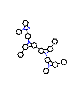 C1=CCCC(C2=Cc3c(n(-c4ccccc4)c4ccc(-n5c6ccc(-c7ccccc7)cc6c6cc(-c7ccc8c(c7)c7cc(-c9ccccc9)ccc7n8-c7ccc(-c8nc9ccccc9n8-c8ccccc8)cc7)ccc65)cc34)CC2)=C1